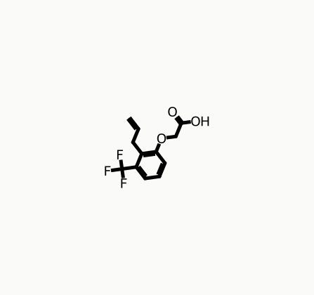 C=CCc1c(OCC(=O)O)cccc1C(F)(F)F